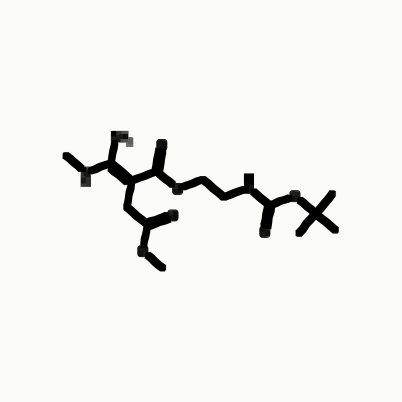 CN/C(N)=C(\CC(=O)OC)C(=O)OCCNC(=O)OC(C)(C)C